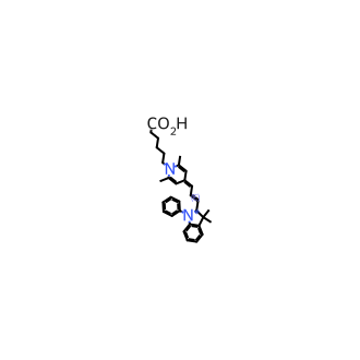 CC1=CC(=C/C=C/C2=[N+](c3ccccc3)c3ccccc3C2(C)C)C=C(C)N1CCCCCC(=O)O